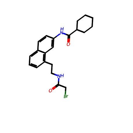 O=C(CBr)NCCc1cccc2ccc(NC(=O)C3CCCCC3)cc12